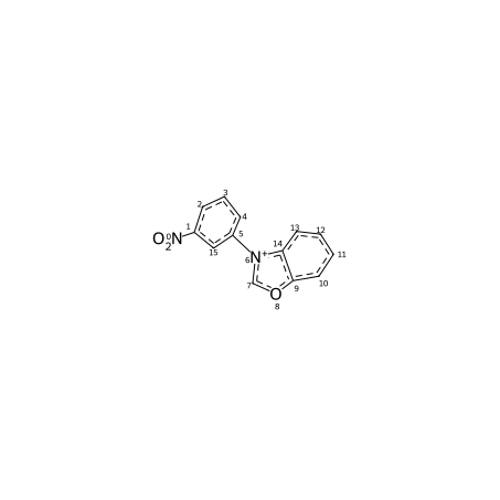 O=[N+]([O-])c1cccc(-[n+]2coc3ccccc32)c1